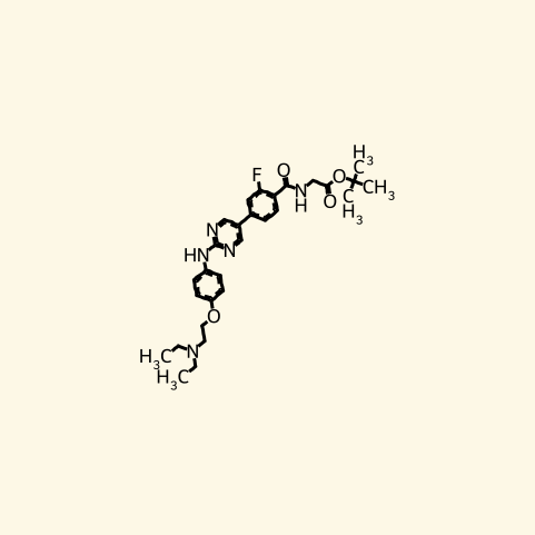 CCN(CC)CCOc1ccc(Nc2ncc(-c3ccc(C(=O)NCC(=O)OC(C)(C)C)c(F)c3)cn2)cc1